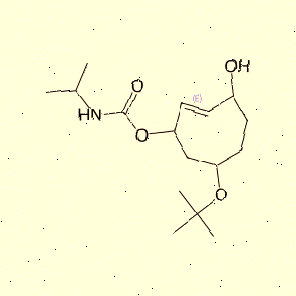 CC(C)NC(=O)OC1/C=C/C(O)CCC(OC(C)(C)C)C1